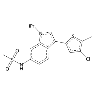 Cc1sc(-c2cn(C(C)C)c3cc(NS(C)(=O)=O)ccc23)cc1Cl